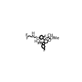 COC(=O)[C@H](C)CN1CCc2c([nH]c3ccc(F)cc23)C1c1c(F)ccc(OCCNCCC(F)F)c1C